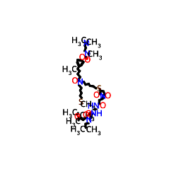 CCOC(C)(C)CC(=O)N(CCC(C)C)CC(=O)NCCNC(=O)CCN1C(=O)CC(SCCCCCCN(CCCCCCSC)C(=O)CCCC(C)c2ccc(OC(=O)N(C)CCCN(C)C)cc2)C1=O